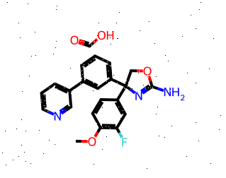 COc1ccc(C2(c3cccc(-c4cccnc4)c3)COC(N)=N2)cc1F.O=CO